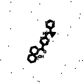 O=C(c1cnc(NC2(c3cncnc3)CC2)nc1)N1CCCC2(CCCC[C@H]2O)C1